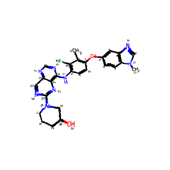 Cc1c(Oc2ccc3c(c2)ncn3C)ccc(Nc2ncnc3cnc(N4CCCC(O)C4)nc23)c1F